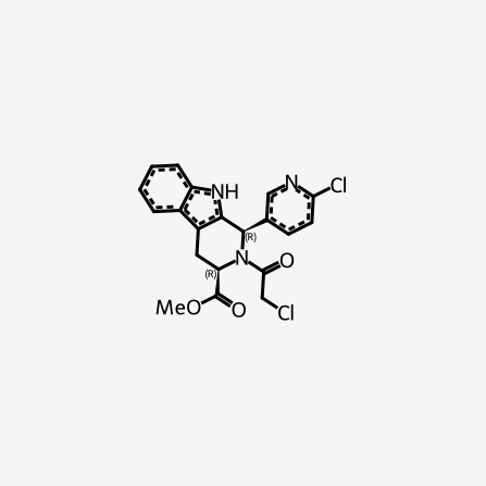 COC(=O)[C@H]1Cc2c([nH]c3ccccc23)[C@@H](c2ccc(Cl)nc2)N1C(=O)CCl